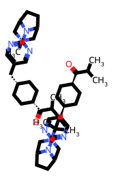 CC(C)C(=O)[C@H]1CC[C@@H](c2cnc(N3C4CCC3CN(C(C)(C)CC(C)C(=O)[C@H]3CC[C@@H](Cc5cnc(N6C7CCC6CN(C)C7)nc5)CC3)C4)nc2)CC1